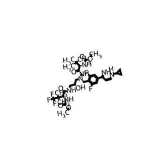 COC(=O)NC(C(=O)NC[C@@H](O)CN(Cc1c(F)cc(C(=N)/C=C\NC2CC2)cc1F)NC(=O)[C@@H](NC(=O)OC)C(C)(C)C)C(C)(C)C(F)(F)F